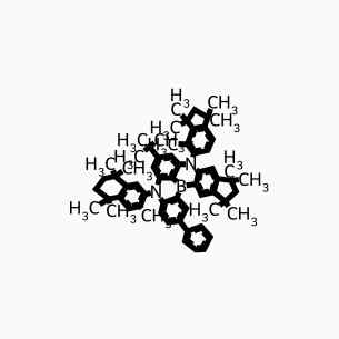 Cc1cc2c(cc1N1c3ccc(-c4ccccc4)cc3B3c4cc5c(cc4N(c4ccc6c(c4C)C(C)(C)CC6(C)C)c4cc(C(C)(C)C)cc1c43)C(C)(C)CC5(C)C)C(C)(C)CCC2(C)C